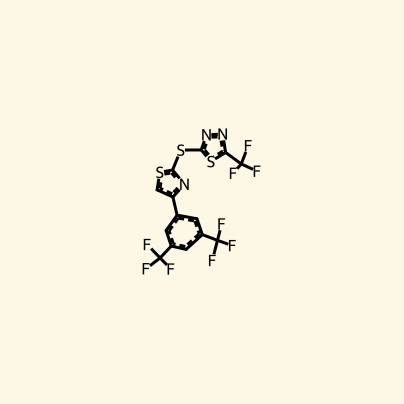 FC(F)(F)c1cc(-c2csc(Sc3nnc(C(F)(F)F)s3)n2)cc(C(F)(F)F)c1